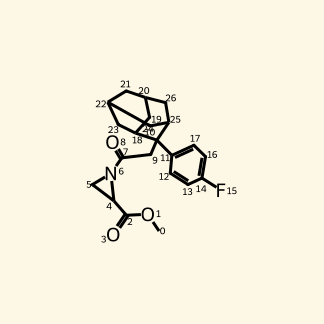 COC(=O)C1CN1C(=O)CC1(c2ccc(F)cc2)C2CC3CC(C2)CC1C3